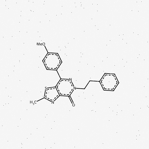 COc1ccc(-c2nn(CCc3ccccc3)c(=O)c3nc(C)sc23)cc1